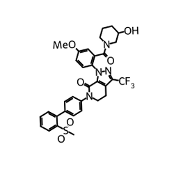 COc1ccc(-n2nc(C(F)(F)F)c3c2C(=O)N(c2ccc(-c4ccccc4S(C)(=O)=O)cc2)CC3)c(C(=O)N2CCCC(O)C2)c1